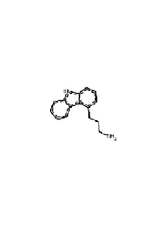 NCCCc1cccc2[nH]c3ccccc3c12